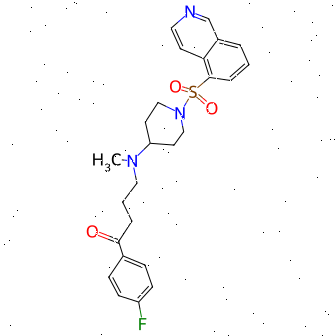 CN(CCCC(=O)c1ccc(F)cc1)C1CCN(S(=O)(=O)c2cccc3cnccc23)CC1